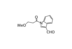 COCCC(=O)n1cc(C=O)c2ccccc21